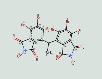 CC(c1c(Br)c(Br)c(Br)c2c1C(=O)N(Br)C2=O)c1c(Br)c(Br)c(Br)c2c1C(=O)N(Br)C2=O